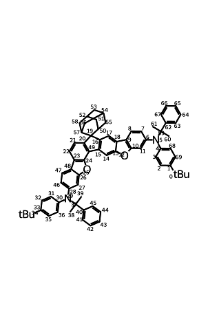 CC(C)(C)c1ccc(N(c2ccc3c(c2)oc2cc4c(cc23)C2(c3ccc5c(oc6cc(N(c7ccc(C(C)(C)C)cc7)C(C)(C)c7ccccc7)ccc65)c3-4)C3CC4CC(C3)CC2C4)C(C)(C)c2ccccc2)cc1